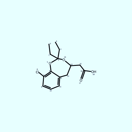 CCC1(CC)Oc2c(Cl)cccc2CC(CC(=O)O)O1